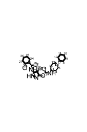 O=C(NN1CCN(c2ccccc2)CC1)Oc1n[nH]c(NC(=O)c2ccccc2Cl)c1Br